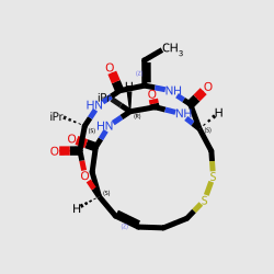 C/C=C1\NC(=O)[C@H]2CSSCC/C=C\[C@H](CC(=O)N[C@H](C(C)C)C(=O)N2)OC(=O)[C@H](C(C)C)NC1=O